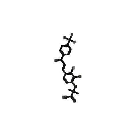 CC(C)(Oc1ccc(/C=C/C(=O)c2ccc(C(F)(F)F)cc2)c(Cl)c1Cl)C(=O)O